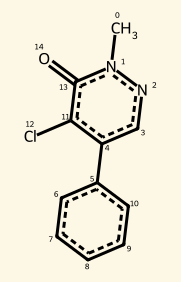 Cn1ncc(-c2ccccc2)c(Cl)c1=O